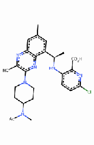 CC(=O)N(C)C1CCN(c2nc3c([C@@H](C)Nc4ccc(Cl)nc4C(=O)O)cc(C)cc3nc2C#N)CC1